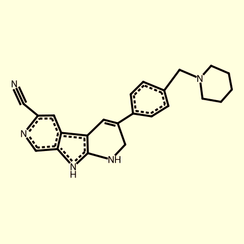 N#Cc1cc2c3c([nH]c2cn1)NCC(c1ccc(CN2CCCCC2)cc1)=C3